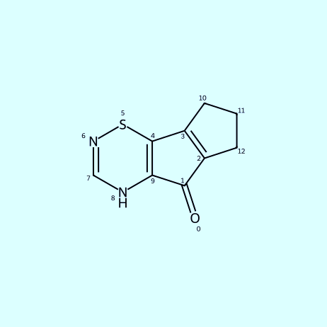 O=c1c2c(c3snc[nH]c1=3)CCC2